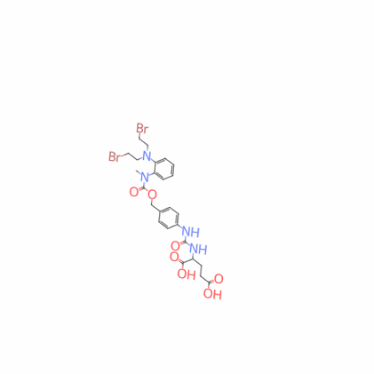 CN(C(=O)OCc1ccc(NC(=O)NC(CCC(=O)O)C(=O)O)cc1)c1ccccc1N(CCBr)CCBr